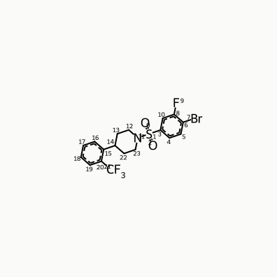 O=S(=O)(c1ccc(Br)c(F)c1)N1CCC(c2ccccc2C(F)(F)F)CC1